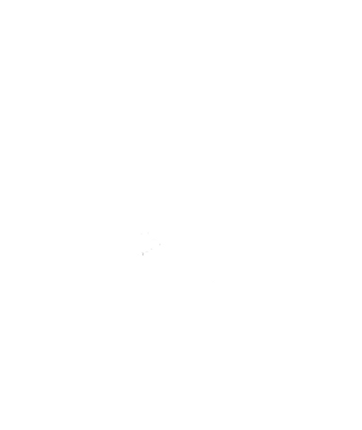 CCCCCCCCCCCCCC.O=S(=O)([O-])[O-].[Ca+2]